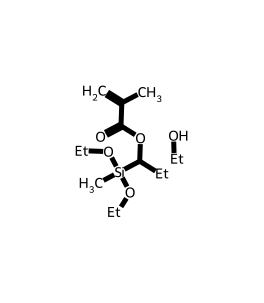 C=C(C)C(=O)OC(CC)[Si](C)(OCC)OCC.CCO